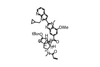 C=CC(=O)N(C)[C@@H]1C[C@@H]2CN(C(=O)c3cc(OC)c4c(c3)nc(-c3cc5cccnc5n3CC3CC3)n4C)[C@H]1[C@@H]2NC(=O)OC(C)(C)C